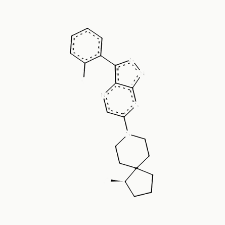 C[C@@H]1CCCC12CCN(c1cnc3c(-c4ccccc4Cl)n[nH]c3n1)CC2